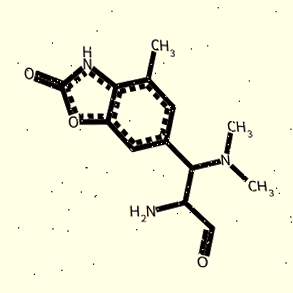 Cc1cc(C(C(N)C=O)N(C)C)cc2oc(=O)[nH]c12